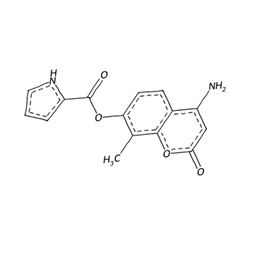 Cc1c(OC(=O)c2ccc[nH]2)ccc2c(N)cc(=O)oc12